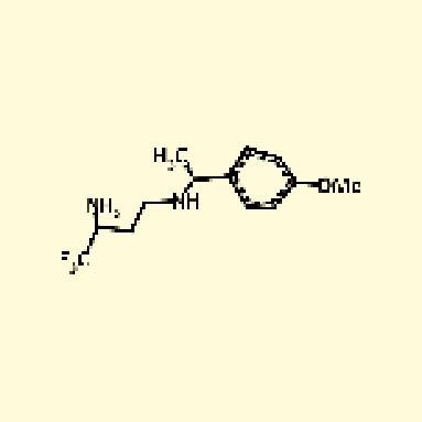 COc1ccc([C@H](C)NCCC(N)C(F)(F)F)cc1